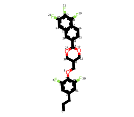 CCCc1cc(F)c(OCC2COC(c3ccc4c(F)c(F)c(F)cc4c3)OC2)c(F)c1